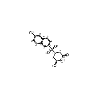 O=C1CN(S(=O)(=O)c2ccc3cc(Cl)ccc3c2)CC(=O)N1